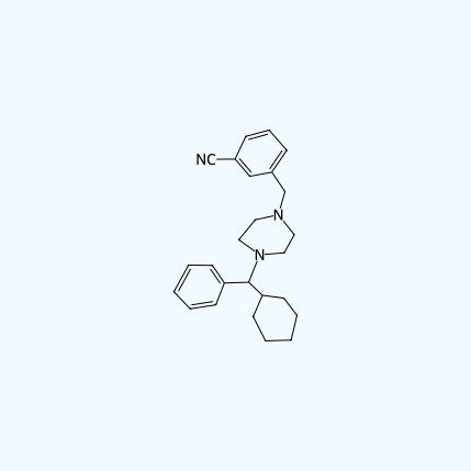 N#Cc1cccc(CN2CCN(C(c3ccccc3)C3CCCCC3)CC2)c1